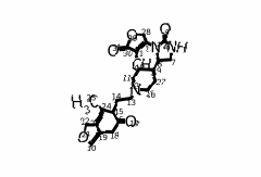 CC1=C(N2C(=O)NCC2C2CCN(CCC3C(=O)CC4=COCC4=C3C)CC2)COC1=O